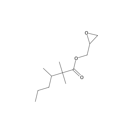 CCCC(C)C(C)(C)C(=O)OCC1CO1